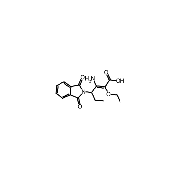 CCOC(C(=O)O)=C(N)C(CC)N1C(=O)c2ccccc2C1=O